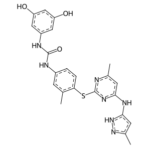 Cc1cc(Nc2cc(C)nc(Sc3ccc(NC(=O)Nc4cc(O)cc(O)c4)cc3C)n2)[nH]n1